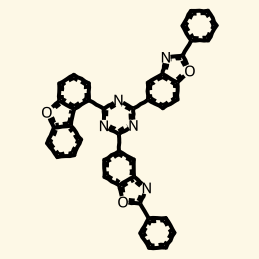 c1ccc(-c2nc3cc(-c4nc(-c5ccc6oc(-c7ccccc7)nc6c5)nc(-c5cccc6oc7ccccc7c56)n4)ccc3o2)cc1